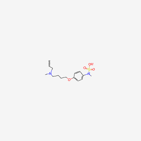 C=CCN(C)CCCCOc1ccc(N(C)S(=O)(=O)O)cc1